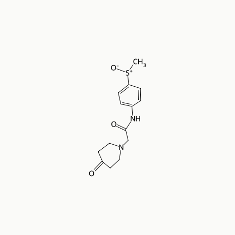 C[S+]([O-])c1ccc(NC(=O)CN2CCC(=O)CC2)cc1